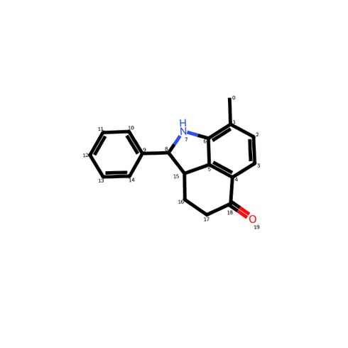 Cc1ccc2c3c1NC(c1ccccc1)C3CCC2=O